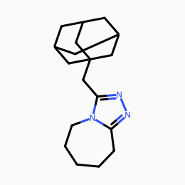 C1CCc2nnc(CC34CC5CC(CC(C5)C3)C4)n2CC1